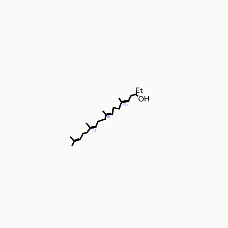 CCC(O)C/C=C(\C)CC/C=C(\C)CC/C=C(\C)CCC=C(C)C